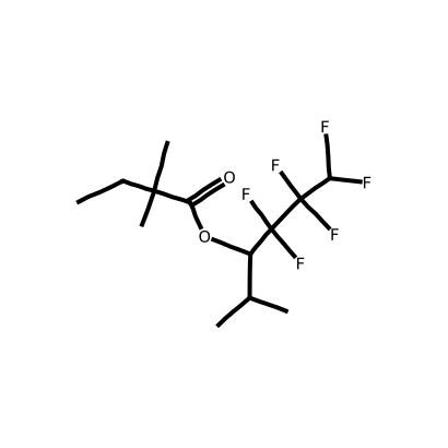 CCC(C)(C)C(=O)OC(C(C)C)C(F)(F)C(F)(F)C(F)F